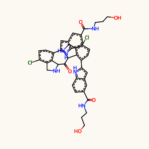 O=C(NCCCO)c1ccc2[nH]c(-c3ccc(Cl)c4c3C(C(=O)C3NCc5c(Cl)ccc(-c6cc7cc(C(=O)NCCCO)ccc7[nH]6)c53)NC4)cc2c1